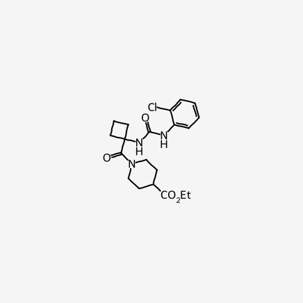 CCOC(=O)C1CCN(C(=O)C2(NC(=O)Nc3ccccc3Cl)CCC2)CC1